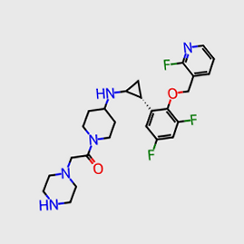 O=C(CN1CCNCC1)N1CCC(NC2C[C@@H]2c2cc(F)cc(F)c2OCc2cccnc2F)CC1